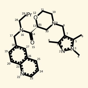 Cc1nn(C)c(C)c1CN1CCO[C@@H](C(=O)N(Cc2ccc3ncccc3c2)CC(C)C)C1